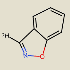 [2H]c1noc2ccccc12